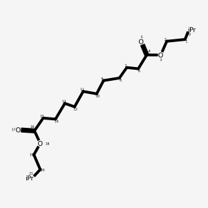 CC(C)CCOC(=O)CCCCCCCCCCC(=O)OCCC(C)C